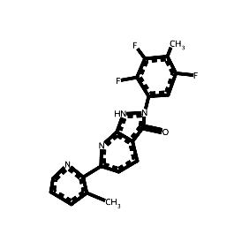 Cc1cccnc1-c1ccc2c(=O)n(-c3cc(F)c(C)c(F)c3F)[nH]c2n1